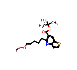 CC(C)(C)OC(=O)c1cc2sccc2nc1CCCCCOSI